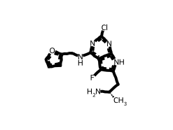 C[C@H](N)Cc1[nH]c2nc(Cl)nc(NCc3ccco3)c2c1F